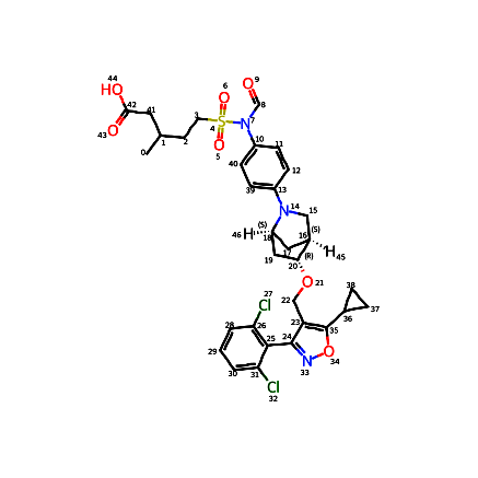 CC(CCS(=O)(=O)N(C=O)c1ccc(N2C[C@@H]3C[C@H]2C[C@H]3OCc2c(-c3c(Cl)cccc3Cl)noc2C2CC2)cc1)CC(=O)O